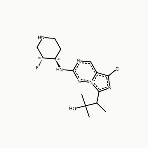 CC(c1nc(Cl)c2cnc(N[C@@H]3CCNC[C@H]3F)nn12)C(C)(C)O